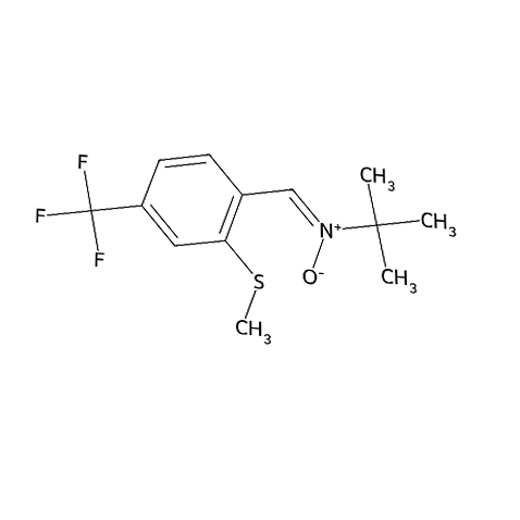 CSc1cc(C(F)(F)F)ccc1C=[N+]([O-])C(C)(C)C